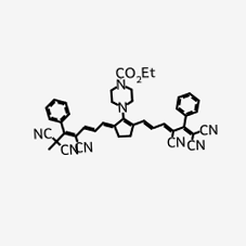 CCOC(=O)N1CCN(C2=C(/C=C/C=C(\C#N)C(=C(C#N)C#N)c3ccccc3)CC\C2=C/C=C/C(C#N)=C(\c2ccccc2)C(C)(C#N)C#N)CC1